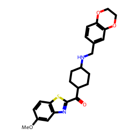 COc1ccc2sc(C(=O)C3CCC(NCc4ccc5c(c4)OCCO5)CC3)nc2c1